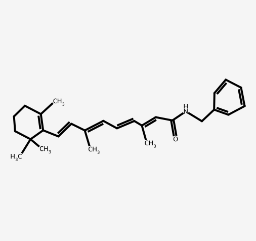 CC1=C(/C=C/C(C)=C/C=C/C(C)=C/C(=O)NCc2ccccc2)C(C)(C)CCC1